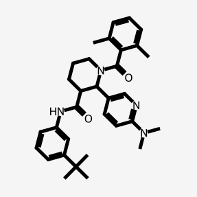 Cc1cccc(C)c1C(=O)N1CCCC(C(=O)Nc2cccc(C(C)(C)C)c2)C1c1ccc(N(C)C)nc1